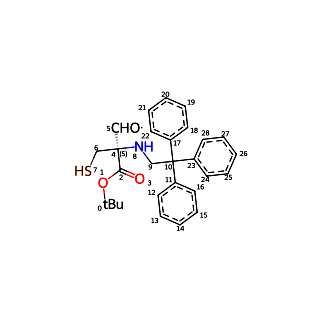 CC(C)(C)OC(=O)[C@@]([C]=O)(CS)NCC(c1ccccc1)(c1ccccc1)c1ccccc1